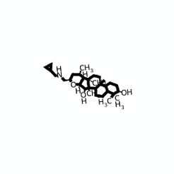 C[C@@H]1C[C@H](CNCC2CC2)O[C@H]2[C@H]1[C@@]1(C)CC[C@@]34C[C@@]35CC[C@H](O)C(C)(C)C5CCC4[C@]1(C)[C@H]2O